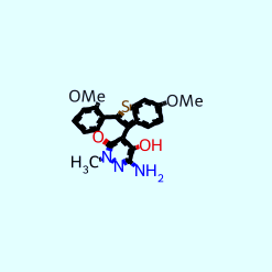 COc1ccc2c(-c3c(O)c(N)nn(C)c3=O)c(-c3ccccc3OC)sc2c1